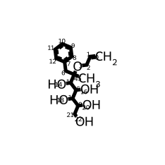 C=CCOC(C)(Cc1ccccc1)C(O)C(O)C(O)C(O)CO